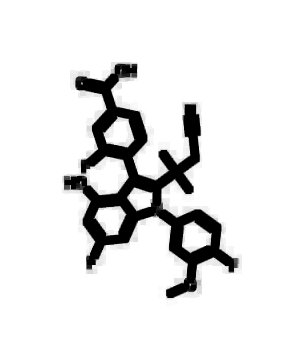 COc1cc(-n2c(C(C)(C)CC#N)c(-c3ccc(C(=O)O)cc3F)c3c(O)cc(F)cc32)ccc1F